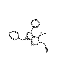 C#CCn1cnc2c(c(-c3ccccc3)cn2Cc2ccccc2)c1=N